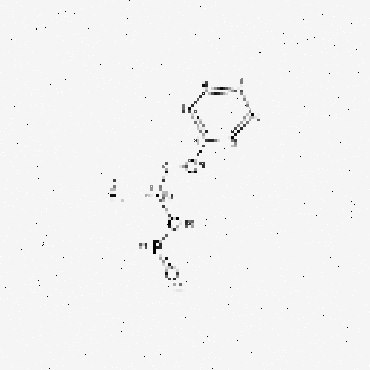 CC[C@H](COc1ccccc1)OP=O